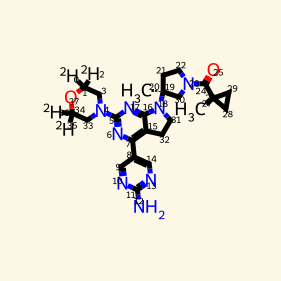 [2H]C1([2H])CN(c2nc(-c3cnc(N)nc3)c3c(n2)N([C@@]2(C)CCN(C(=O)C4(C)CC4)C2)CC3)CC([2H])([2H])O1